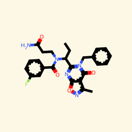 CCC(c1nc2onc(C)c2c(=O)n1Cc1ccccc1)N(CCC(N)=O)C(=O)c1cccc(F)c1